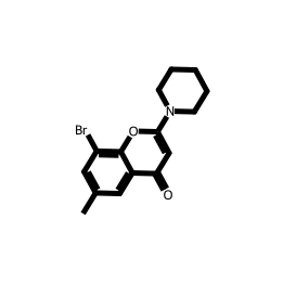 Cc1cc(Br)c2oc(N3CCCCC3)cc(=O)c2c1